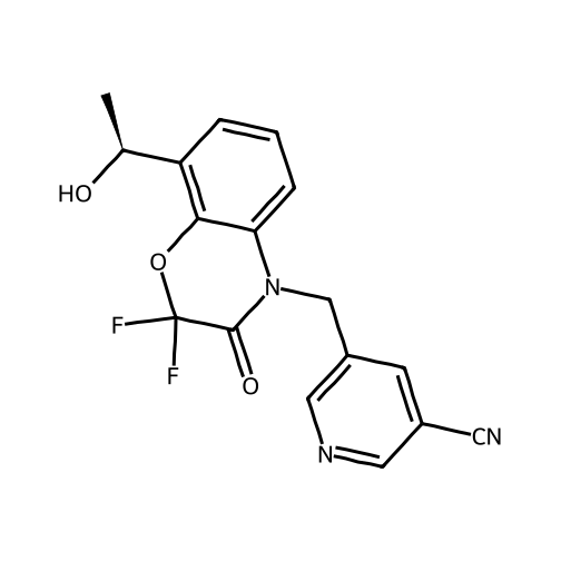 C[C@H](O)c1cccc2c1OC(F)(F)C(=O)N2Cc1cncc(C#N)c1